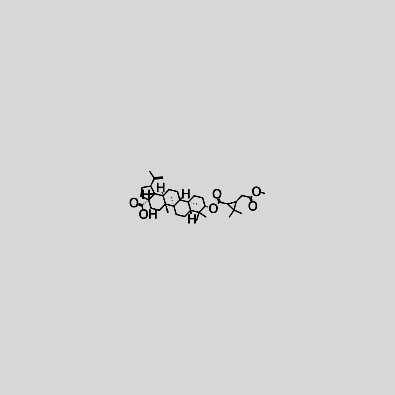 C=C(C)[C@@H]1CC[C@]2(C(=O)O)CC[C@]3(C)[C@H](CC[C@@H]4[C@@]5(C)CC[C@H](OC(=O)[C@H]6[C@@H](CC(=O)OC)C6(C)C)C(C)(C)[C@@H]5CC[C@]43C)[C@@H]12